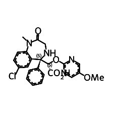 COc1cnc(O[C@H](C(=O)O)[C@@]2(c3ccccc3)NCC(=O)N(C)c3ccc(Cl)cc32)nc1